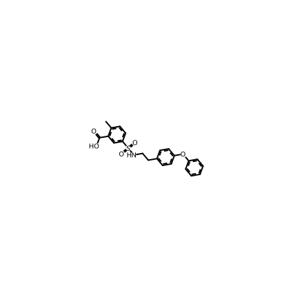 Cc1ccc(S(=O)(=O)NCCc2ccc(Oc3ccccc3)cc2)cc1C(=O)O